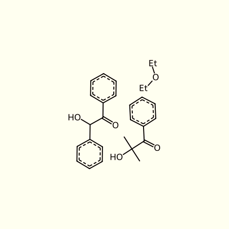 CC(C)(O)C(=O)c1ccccc1.CCOCC.O=C(c1ccccc1)C(O)c1ccccc1